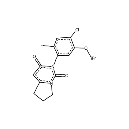 CC(C)Oc1cc(-n2c(=O)cc3n(c2=O)CCC3)c(F)cc1Cl